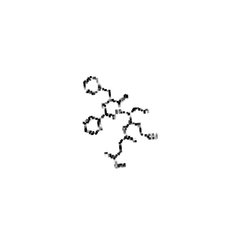 COC(=O)CCC(=O)OB(OCC(=O)O)[C@H](CC(C)C)NC(=O)C(Cc1ccccc1)NC(=O)c1cnccn1